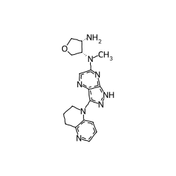 CN(c1cnc2c(N3CCCc4ncccc43)n[nH]c2n1)[C@@H]1COC[C@@H]1N